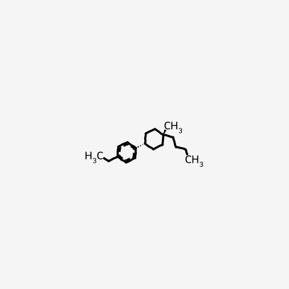 CCCC[C@]1(C)CC[C@H](c2ccc(CC)cc2)CC1